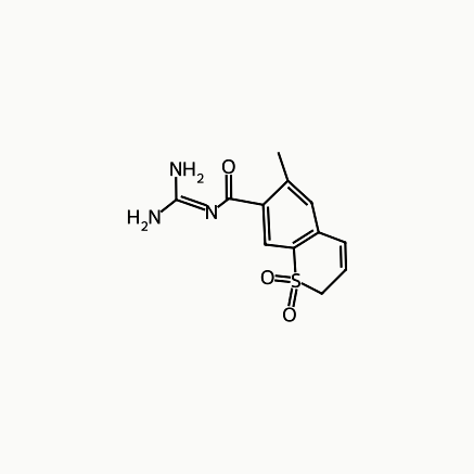 Cc1cc2c(cc1C(=O)N=C(N)N)S(=O)(=O)CC=C2